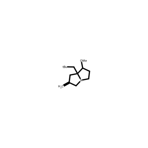 C=C1CN2CCC(OC)C2(CC(C)(C)C)C1